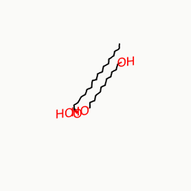 CCCCCCCCCCCCCCCCCC(=O)O.OCCCCCCCCCCCCO